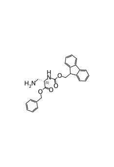 NC[C@H](NC(=O)OCC1c2ccccc2-c2ccccc21)C(=O)OCc1ccccc1